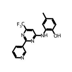 Cc1ccc(O)c(Nc2cc(C(F)(F)F)nc(-c3cccnc3)n2)c1